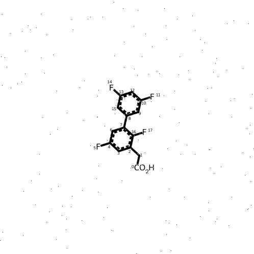 O=C(O)Cc1cc(F)cc(-c2cc(F)cc(F)c2)c1F